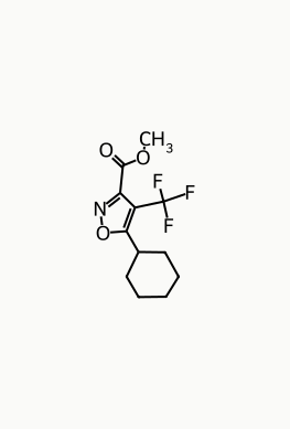 COC(=O)c1noc(C2CCCCC2)c1C(F)(F)F